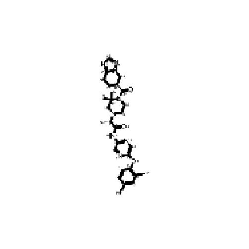 C[C@@H](C(=O)Nc1cnc(Oc2ccc(F)cc2F)cn1)N1CCN(C(=O)[C@H]2CCc3ncnn3C2)C(C)(C)C1